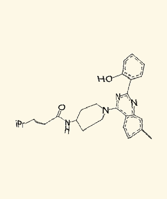 Cc1ccc2c(N3CCC(NC(=O)CCC(C)C)CC3)nc(-c3ccccc3O)nc2c1